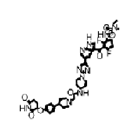 CCN(C)S(=O)(=O)Nc1ccc(F)c(C(=O)c2c[nH]c3ncc(-c4cnc(N5CCC(NC(=O)CN6CCC(c7ccc(OC8CCC(=O)NC8=O)cc7)CC6)CC5)nc4)cc23)c1F